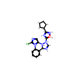 Clc1ncc2n1-c1ccccc1C1N=CN(c3nc(C4CCCC4)no3)N21